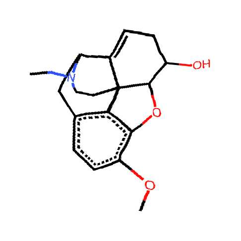 COc1ccc2c3c1OC1C(O)CC=C4C(C2)N(C)CCC431